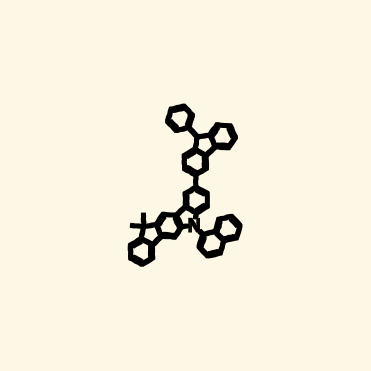 CC1(C)c2ccccc2-c2cc3c(cc21)c1cc(-c2ccc4c(c2)-c2ccccc2C4c2ccccc2)ccc1n3-c1cccc2ccccc12